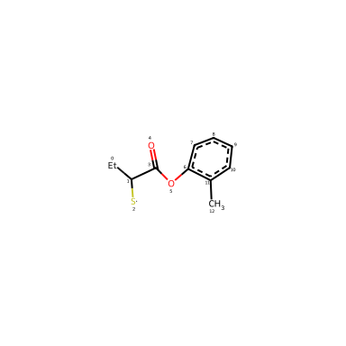 CCC([S])C(=O)Oc1ccccc1C